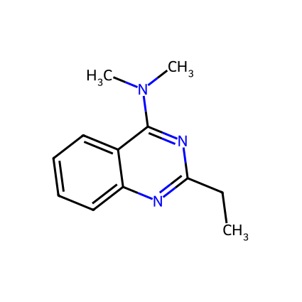 CCc1nc(N(C)C)c2ccccc2n1